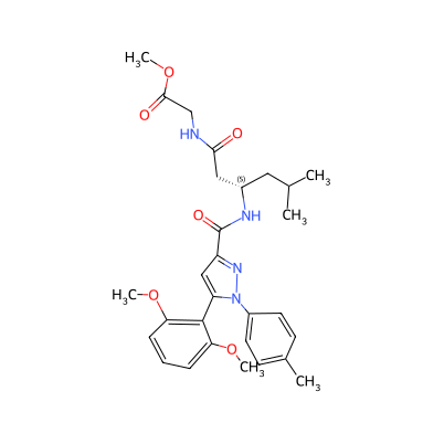 COC(=O)CNC(=O)C[C@H](CC(C)C)NC(=O)c1cc(-c2c(OC)cccc2OC)n(-c2ccc(C)cc2)n1